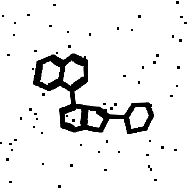 [CH]1C(C2CCCCC2)=Cc2c1cccc2-c1cccc2ccccc12